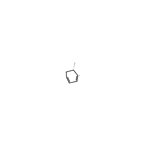 C[C@@H]1[C]=CC=CC1